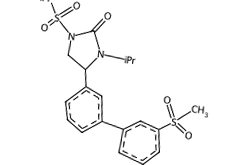 CC(C)N1C(=O)N(S(=O)(=O)C(C)C)CC1c1cccc(-c2cccc(S(C)(=O)=O)c2)c1